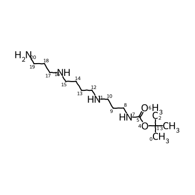 CC(C)(C)OC(=O)NCCCNCCCCNCCCN